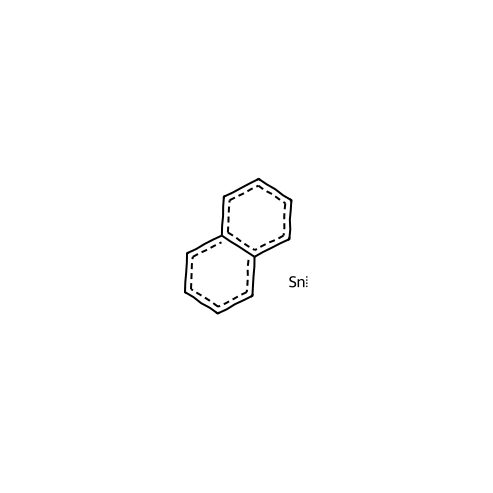 [Sn].c1ccc2ccccc2c1